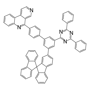 c1ccc(-c2nc(-c3ccccc3)nc(-c3cc(-c4ccc(-c5nc6ccccc6c6ccncc56)cc4)cc(-c4ccc5c(c4)C4(c6ccccc6-c6ccccc64)c4ccccc4-5)c3)n2)cc1